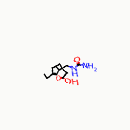 CCC1=CC2C(C1)CC2(CNC(N)=O)CC(=O)O